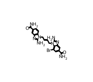 NC(=O)c1ccc2c(c1)nc(N)n2CC=CCn1c(N)nc2cc(C(N)=O)cc(Br)c21